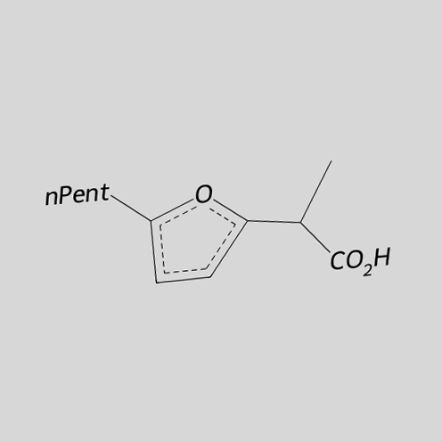 CCCCCc1ccc(C(C)C(=O)O)o1